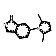 Cc1[c]cc(C)n1-c1ccc2cn[nH]c2c1